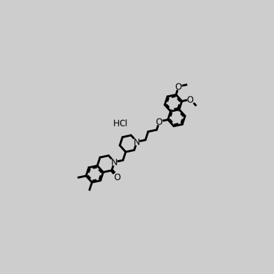 COc1ccc2c(OCCCN3CCCC(CN4CCc5cc(C)c(C)cc5C4=O)C3)cccc2c1OC.Cl